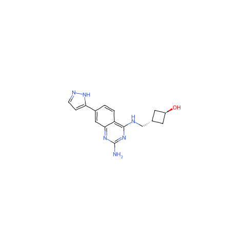 Nc1nc(NC[C@H]2C[C@H](O)C2)c2ccc(-c3ccn[nH]3)cc2n1